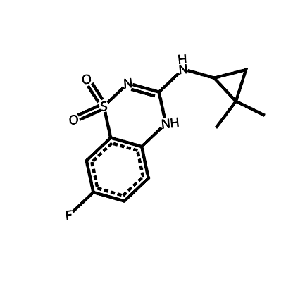 CC1(C)CC1NC1=NS(=O)(=O)c2cc(F)ccc2N1